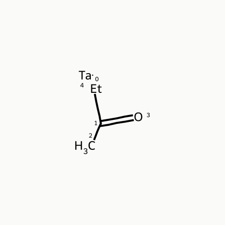 CCC(C)=O.[Ta]